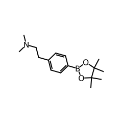 CN(C)CCc1ccc(B2OC(C)(C)C(C)(C)O2)cc1